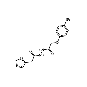 CC(C)c1ccc(OCC(=O)NNC(=O)Cc2ccco2)cc1